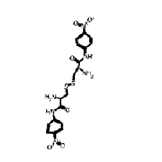 N[C@@H](CSSC[C@H](N)C(=O)Nc1ccc([N+](=O)[O-])cc1)C(=O)Nc1ccc([N+](=O)[O-])cc1